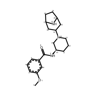 COc1cccc(C(=O)N[C@@H]2CCCN(C3CC4CCC(C3)N4)C2)c1